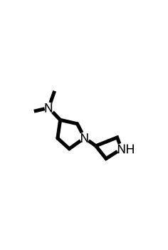 CN(C)C1CCN(C2CNC2)C1